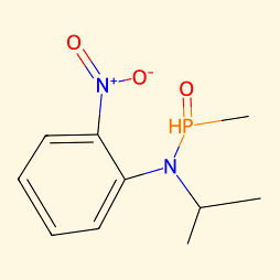 CC(C)N(c1ccccc1[N+](=O)[O-])[PH](C)=O